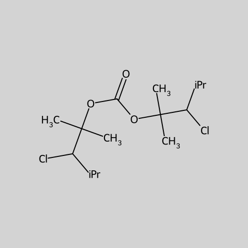 CC(C)C(Cl)C(C)(C)OC(=O)OC(C)(C)C(Cl)C(C)C